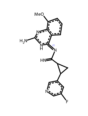 COc1cccc2/c(=N/C(=N)C3CC3c3cncc(F)c3)[nH]c(N)nc12